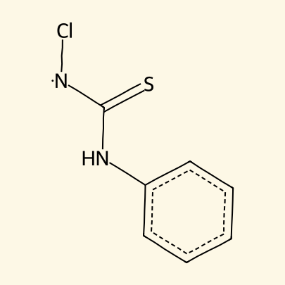 S=C([N]Cl)Nc1ccccc1